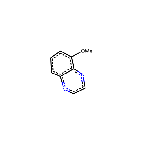 COc1cccc2nc[c]nc12